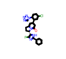 O=c1cc(-c2cc(Cl)ccc2-n2cnnn2)cc2n1[C@H](c1[nH]c(-c3cc[c]cc3)nc1F)CC2